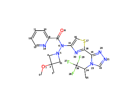 COC1(C)CN(N(C(=O)c2ccccn2)c2csc(-c3nncn3C(C)C(F)(F)F)n2)C1